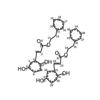 O=C(/C=C/c1cc(O)ccc1O)OCCc1ccccc1.O=C(C=Cc1cc(O)ccc1O)OCCc1ccccc1